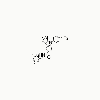 Cc1cc(C)nc(CNC(=O)c2ccc3c(c2)c2cn(C)nc2n3-c2ccc(C(F)(F)F)cc2)c1